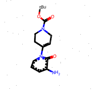 CC(C)(C)OC(=O)N1CC=C(n2cccc(N)c2=O)CC1